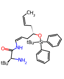 C/C=C\C[C@@H](C/C=C\NC(=O)[C@@H](N)C(C)(C)C)O[Si](c1ccccc1)(c1ccccc1)C(C)(C)C